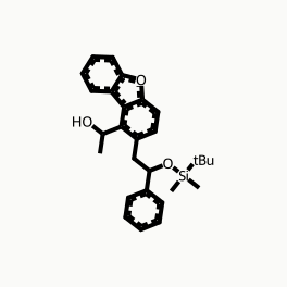 CC(O)c1c(CC(O[Si](C)(C)C(C)(C)C)c2ccccc2)ccc2oc3ccccc3c12